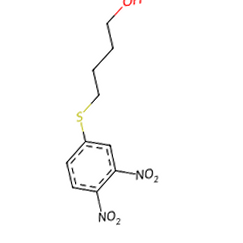 O=[N+]([O-])c1ccc(SCCCCO)cc1[N+](=O)[O-]